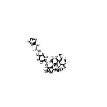 Cc1ccc(F)cc1S(=O)(=O)Nc1n[nH]c(SCc2ccc(OCCCn3ncnn3)cc2)c1-c1ccccn1